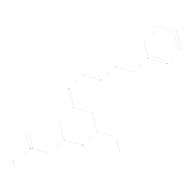 COC1CC(CC(=O)O)CC(C[C@H](C)CCCc2ccccc2)C1